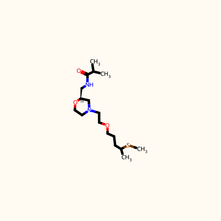 CSC(C)CCCOCCN1CCO[C@@H](CNC(=O)C(C)C)C1